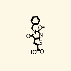 COc1nc2sc(C(=O)O)cc2c(=O)n1Cc1ccccc1